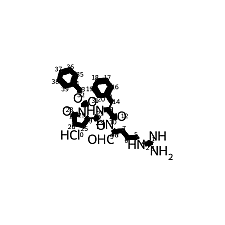 Cl.N=C(N)NCCC[C@@H](C=O)NC(=O)[C@H](Cc1ccccc1)NC(=O)[C@H]1CCC(=O)N1C(=O)OCc1ccccc1